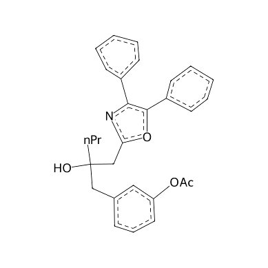 CCCC(O)(Cc1cccc(OC(C)=O)c1)Cc1nc(-c2ccccc2)c(-c2ccccc2)o1